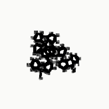 Cp1c2ccccc2c2c(-c3cccc4c(-c5cccc6c5C(c5ccccc5)(c5ccccc5)c5ccccc5-6)c5cccc(-c6cccc7c6c6ccccc6p7C)c5cc34)cccc21